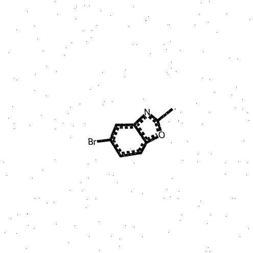 [CH2]c1nc2cc(Br)ccc2o1